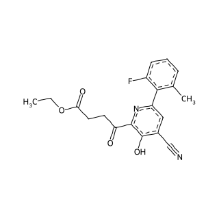 CCOC(=O)CCC(=O)c1nc(-c2c(C)cccc2F)cc(C#N)c1O